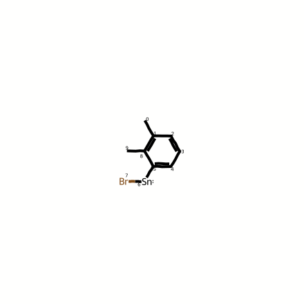 Cc1ccc[c]([Sn][Br])c1C